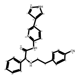 N#Cc1ccc(CCN[C@H](C(=O)Nc2ccc(-c3cn[nH]c3)cn2)c2ccccc2)cc1